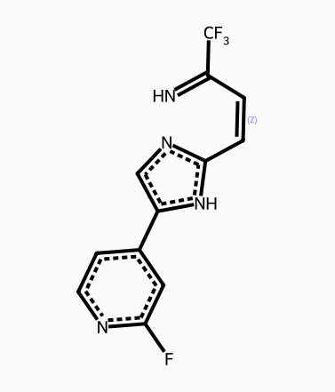 N=C(/C=C\c1ncc(-c2ccnc(F)c2)[nH]1)C(F)(F)F